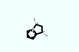 C[C@@H]1C[C@H](C)c2cccn21